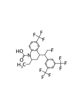 CCC1CC(C(CF)c2cc(C(F)(F)F)cc(C(F)(F)F)c2)c2cc(C(F)(F)F)ccc2N1C(=O)O